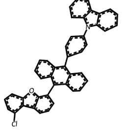 Clc1cccc2oc3c(-c4c5ccccc5c(-c5ccc(-n6c7ccccc7c7ccccc76)cc5)c5ccccc45)cccc3c12